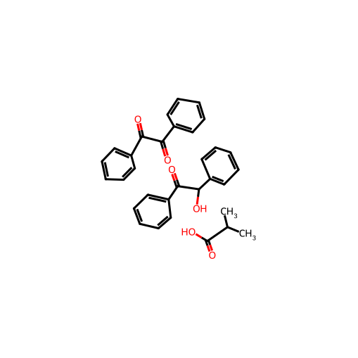 CC(C)C(=O)O.O=C(C(=O)c1ccccc1)c1ccccc1.O=C(c1ccccc1)C(O)c1ccccc1